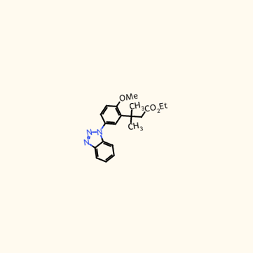 CCOC(=O)CC(C)(C)c1cc(-n2nnc3ccccc32)ccc1OC